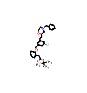 CC(C)(C)OC(=O)Cc1ccccc1OCc1cc(Cl)cc(/C=C/C2CN(Cc3ccccc3)CCO2)c1